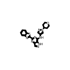 c1ccc2sc(-c3nc(Nc4cnn(C5CCOCC5)c4)c4[nH]ncc4n3)nc2c1